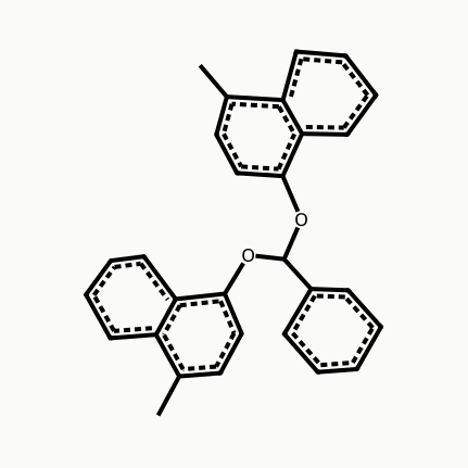 Cc1ccc(OC(Oc2ccc(C)c3ccccc23)c2ccccc2)c2ccccc12